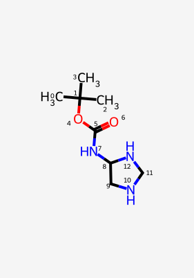 CC(C)(C)OC(=O)NC1CNCN1